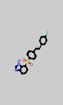 O=S(=O)(c1ccc(/C=C/c2ccc(F)cc2)cc1)c1cccc2nc[nH]c12